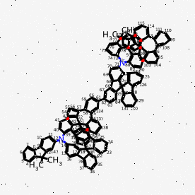 CC1(C)c2ccccc2-c2ccc(N(c3ccc4c(c3)C3(c5ccccc5-c5ccccc53)c3ccccc3-4)c3cccc4c3-c3ccccc3C43c4ccccc4-c4ccc(-c5ccc6c(c5)-c5ccc(N(c7cccc8c7-c7ccccc7C8(C)C)c7cccc8c7-c7ccccc7C87c8ccccc8-c8ccccc8-c8ccccc87)cc5C65c6ccccc6-c6ccccc65)cc4-c4ccccc43)cc21